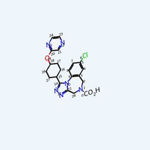 O=C(O)N1Cc2cc(Cl)ccc2-n2c(nnc2C2CCC(Oc3cnccn3)CC2)C1